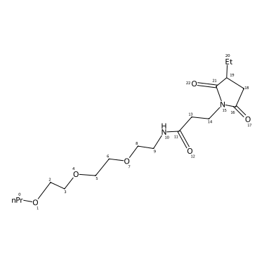 CCCOCCOCCOCCNC(=O)CCN1C(=O)CC(CC)C1=O